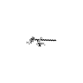 CCCCCCCCCCCCCC(=O)OCC(CCn1cnc2cnc(N)nc21)COC(=O)[C@@H](N)C(C)C